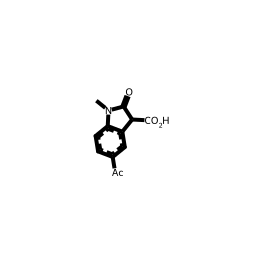 CC(=O)c1ccc2c(c1)C(C(=O)O)C(=O)N2C